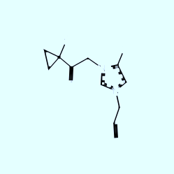 C=CCn1cc(Cl)[n+](CC(=O)C2(Cl)CC2)c1